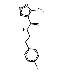 Cc1oncc1C(=O)NCCc1ccc(F)cc1